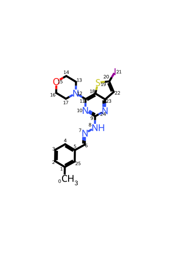 Cc1cccc(/C=N/Nc2nc(N3CCOCC3)c3sc(I)cc3n2)c1